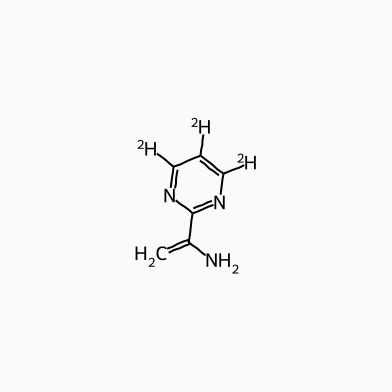 [2H]c1nc(C(=C)N)nc([2H])c1[2H]